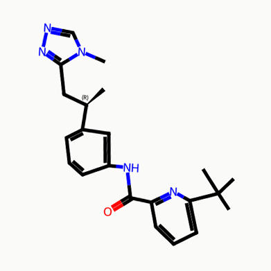 C[C@H](Cc1nncn1C)c1cccc(NC(=O)c2cccc(C(C)(C)C)n2)c1